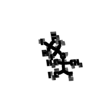 CCC(C)(F)C(F)(F)OC(C)(C)C(F)C(F)(F)F